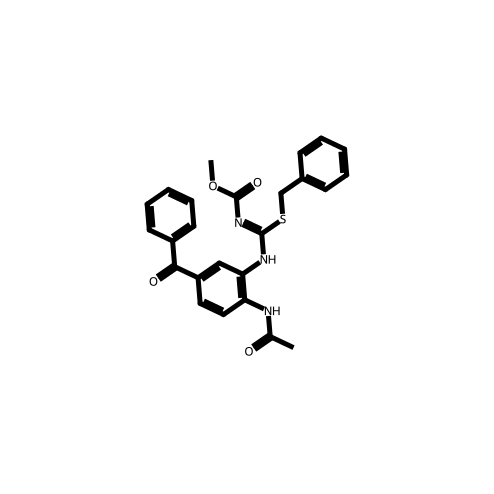 COC(=O)/N=C(/Nc1cc(C(=O)c2ccccc2)ccc1NC(C)=O)SCc1ccccc1